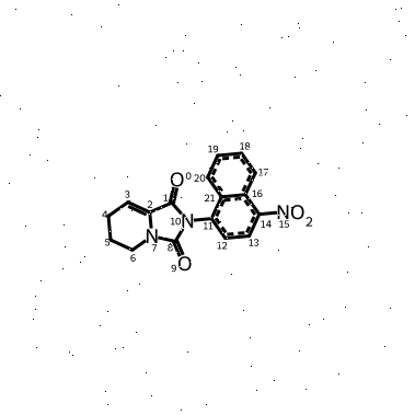 O=C1C2=CCCCN2C(=O)N1c1ccc([N+](=O)[O-])c2ccccc12